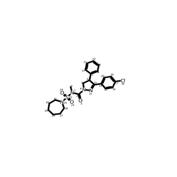 CN(C(=O)N1CC(c2ccccc2)C(c2ccc(Cl)cc2)=N1)S(=O)(=O)N1CCCCCC1